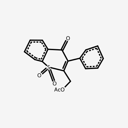 CC(=O)OCC1=C(c2ccccc2)C(=O)c2ccccc2S1(=O)=O